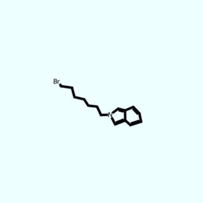 BrCCCCCCCn1cc2ccccc2c1